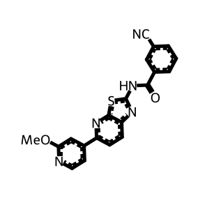 COc1cc(-c2ccc3nc(NC(=O)c4cccc(C#N)c4)sc3n2)ccn1